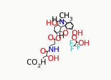 CN1CC[C@]23c4c5ccc(O)c4O[C@H]2C(OC(=O)CCNC(=O)[C@@H](O)CC(=O)O)=CC[C@@]3(O)[C@H]1C5.O=C(O)C(F)(F)F